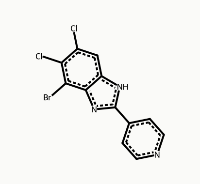 Clc1cc2[nH]c(-c3ccncc3)nc2c(Br)c1Cl